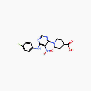 O=C(O)C1CCN(c2ncnc(Nc3ccc(F)cc3)c2[N+](=O)[O-])CC1